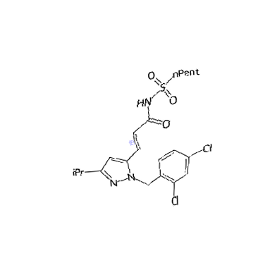 CCCCCS(=O)(=O)NC(=O)/C=C/c1cc(C(C)C)nn1Cc1ccc(Cl)cc1Cl